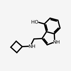 Oc1cccc2[nH]cc(CNC3CCC3)c12